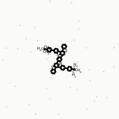 CC(C)(C)c1ccc(-c2ccc3c4c5c(cc6c7cc8c(cc7n(c3c2)c64)c2cc3sc4ccccc4c3c3c4ccc(-c6ccc(C(C)(C)C)cc6)cc4n8c23)sc2ccccc25)cc1